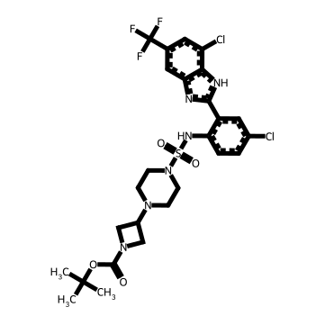 CC(C)(C)OC(=O)N1CC(N2CCN(S(=O)(=O)Nc3ccc(Cl)cc3-c3nc4cc(C(F)(F)F)cc(Cl)c4[nH]3)CC2)C1